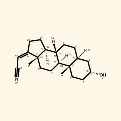 C[C@]12CC[C@@H](O)C[C@@H]1CC[C@@H]1[C@@H]2CC[C@]2(C)/C(=C\C#N)CC[C@@H]12